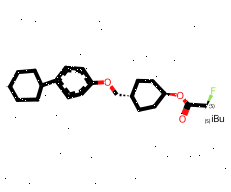 CC[C@H](C)[C@H](F)C(=O)O[C@H]1CC[C@H](COc2ccc(C3CC[CH]CC3)cc2)CC1